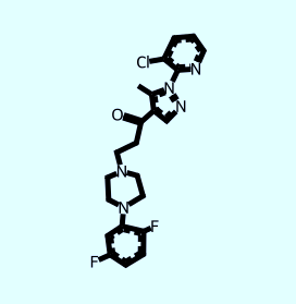 Cc1c(C(=O)CCN2CCN(c3cc(F)ccc3F)CC2)cnn1-c1ncccc1Cl